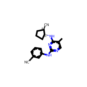 Cc1cnc(Nc2cccc(C#N)c2)nc1N[C@@H]1CCC[C@H]1C#N